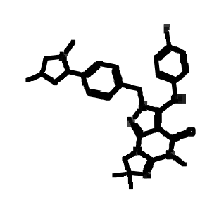 CC1CC(c2ccc(Cn3nc4c(c3Nc3ccc(F)cc3)C(=O)N(C)C3=NC(C)(C)CN34)cc2)N(C)C1